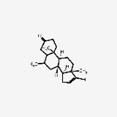 CC1C[C@@H]2[C@H](CC[C@]3(C)C(I)=CC[C@@H]23)[C@@]2(C)CCC(=O)CC12